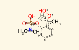 CC(C)(OO)c1ccccc1.CN(C)S(=O)(=O)O